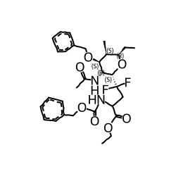 CCOC(=O)C(CC(F)(F)[C@H]1O[C@H](CC)[C@H](C)[C@H](OCc2ccccc2)[C@H]1NC(C)=O)NC(=O)OCc1ccccc1